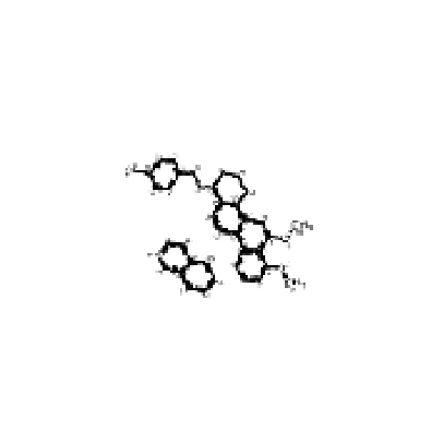 COc1cccc2c1c(OC)cc1c3c(ccc12)C(CCc1ccc(Br)cc1)CCC3.c1ccc2cnccc2c1